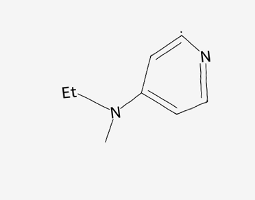 CCN(C)c1c[c]ncc1